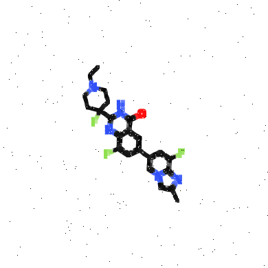 CCN1CCC(F)(c2nc3c(F)cc(-c4cc(F)c5nc(C)cn5c4)cc3c(=O)[nH]2)CC1